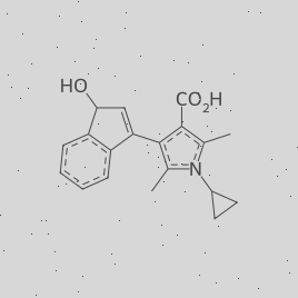 Cc1c(C(=O)O)c(C2=CC(O)c3ccccc32)c(C)n1C1CC1